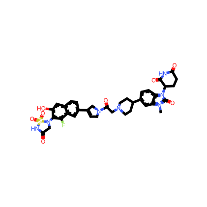 Cn1c(=O)n(C2CCC(=O)NC2=O)c2ccc(C3CCN(CC(=O)N4CC=C(c5ccc6cc(O)c(N7CC(=O)NS7(=O)=O)c(F)c6c5)C4)CC3)cc21